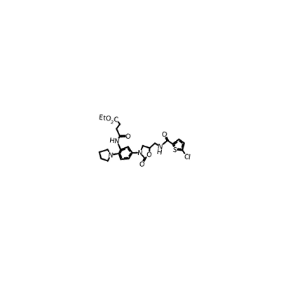 CCOC(=O)CCC(=O)Nc1cc(N2CC(CNC(=O)c3ccc(Cl)s3)OC2=O)ccc1N1CCCC1